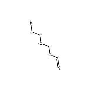 O=[C]OCOCCF